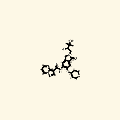 CC(C)(O)C(F)CN1Cc2cc(NC(=O)c3cnn4cccnc34)c(OC3CCOCC3)cc2C1=O